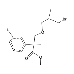 COC(=O)C(C)(COCC(C)CBr)c1cccc(I)c1